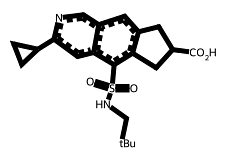 CC(C)(C)CNS(=O)(=O)c1c2c(cc3cnc(C4CC4)cc13)CC(C(=O)O)C2